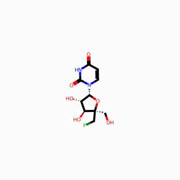 O=c1ccn([C@@H]2O[C@@](CO)(CF)[C@@H](O)[C@@H]2O)c(=O)[nH]1